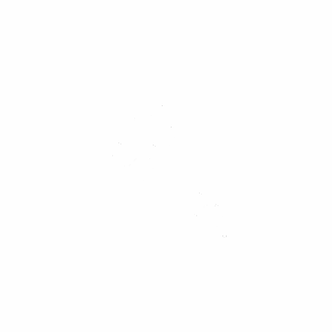 COc1cnc(N2CC=C(c3c(F)cc(N4CCN(C)[C@@H](C)C4)c(NC(=O)c4c[nH]c(=O)cc4C(F)(F)F)c3F)CC2)nc1